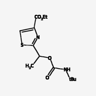 CCOC(=O)c1csc(C(C)OC(=O)NC(C)(C)C)n1